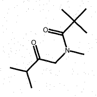 CC(C)C(=O)CN(C)C(=O)C(C)(C)C